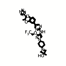 CC(Cn1cnnn1)Oc1cc(-c2cnc(Nc3cn(C4CCC(N5CC(C)(O)C5)CC4)nc3OCC(F)(F)F)nc2)ccc1Cl